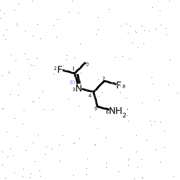 C/C(F)=N\C(CN)CF